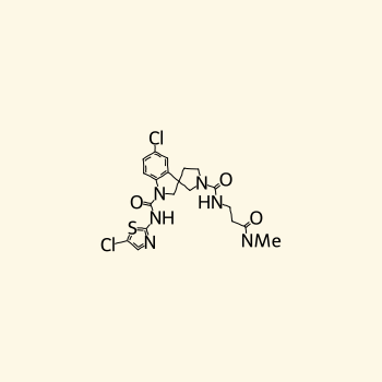 CNC(=O)CCNC(=O)N1CCC2(C1)CN(C(=O)Nc1ncc(Cl)s1)c1ccc(Cl)cc12